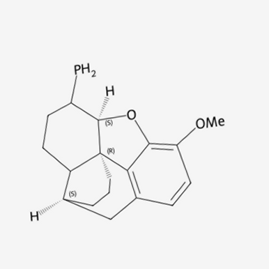 COc1ccc2c3c1O[C@@H]1C(P)CCC4[C@@H](CCC[C@]341)C2